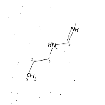 CCCN[C]=N